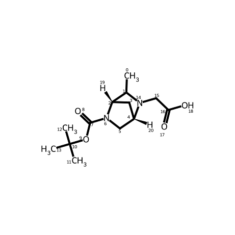 CC1[C@@H]2C[C@@H](CN2C(=O)OC(C)(C)C)N1CC(=O)O